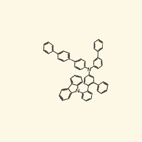 c1ccc(-c2ccc(-c3ccc(N(c4cccc(-c5ccccc5)c4)c4ccc(-c5ccccc5-n5c6ccccc6c6ccccc65)c(-c5ccccc5)c4)cc3)cc2)cc1